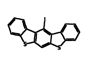 Ic1c2c(cc3sc4ccccc4c13)sc1ccccc12